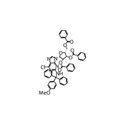 COc1ccc(C(Nc2nc(Cl)c3ncn([C@@H]4O[C@H](COC(=O)c5ccccc5)[C@@H](OC(=O)c5ccccc5)[C@@]4(C)OC(=O)c4ccccc4)c3n2)(c2ccccc2)c2ccccc2)cc1